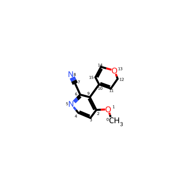 COc1ccnc(C#N)c1C1=CCOC=C1